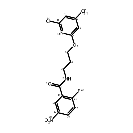 O=C(NCCCOc1cc(C(F)(F)F)cc(Cl)n1)c1cc([N+](=O)[O-])ccc1F